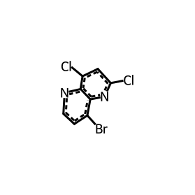 Clc1cc(Cl)c2nccc(Br)c2n1